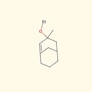 CCOC1(C)C=C2CCCC(C2)C1